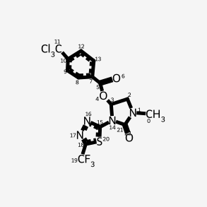 CN1CC(OC(=O)c2ccc(C(Cl)(Cl)Cl)cc2)N(c2nnc(C(F)(F)F)s2)C1=O